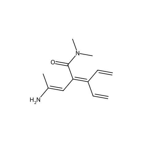 C=CC(C=C)=C(/C=C(\C)N)C(=O)N(C)C